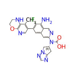 Cc1c(-c2cc3cc(N(C(=O)O)[C@@H]4Cc5ncnn5C4)ncc3c(N)c2F)cnc2c1NCCO2